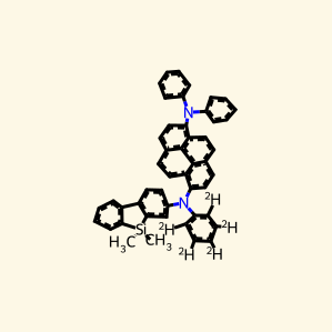 [2H]c1c([2H])c([2H])c(N(c2ccc3c(c2)[Si](C)(C)c2ccccc2-3)c2ccc3ccc4c(N(c5ccccc5)c5ccccc5)ccc5ccc2c3c54)c([2H])c1[2H]